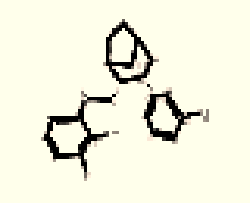 CC1C2CCC1[C@@H](COc1cccc(F)c1F)[C@@H](c1cccc(Cl)c1)C2